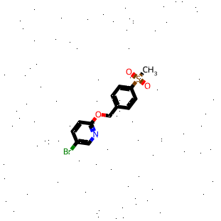 CS(=O)(=O)c1ccc(COc2ccc(Br)cn2)cc1